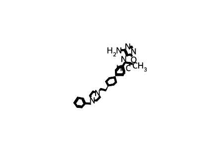 CC1(C)Oc2ncnc(N)c2N=C1c1ccc([C@H]2CC[C@H](CCN3CCN(Cc4ccccc4)CC3)CC2)cc1